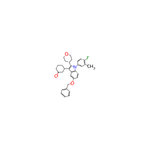 Cc1cc(-n2c(C3CCOCC3)c(C3CCCC(=O)C3)c3cc(OCc4ccccc4)ccc32)ccc1F